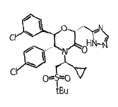 CC(C)(C)S(=O)(=O)C[C@H](C1CC1)N1C(=O)[C@@H](Cc2ncn[nH]2)O[C@H](c2cccc(Cl)c2)[C@H]1c1ccc(Cl)cc1